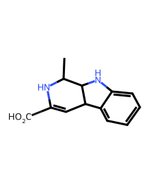 CC1NC(C(=O)O)=CC2c3ccccc3NC12